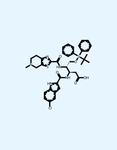 CN1CCc2nc(C(=O)N[C@H](CO[Si](c3ccccc3)(c3ccccc3)C(C)(C)C)[C@@H](CC(=O)O)NC(=O)c3cc4cc(Cl)ccc4[nH]3)sc2C1